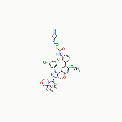 COc1cc2c(cc1-c1cccc(NC(=O)CON=C3CNC3)c1)-c1c(c(C(=O)N3CCOCC3(C)C)nn1-c1cc(Cl)cc(Cl)c1)CO2